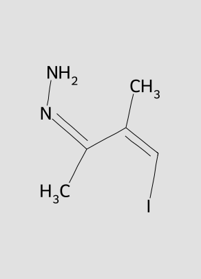 CC(=C/I)/C(C)=N\N